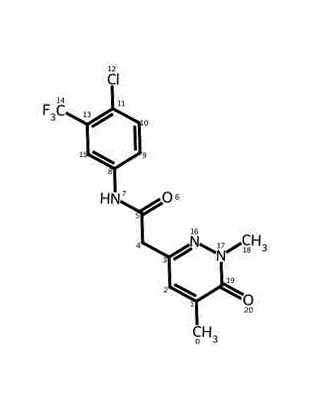 Cc1cc(CC(=O)Nc2ccc(Cl)c(C(F)(F)F)c2)nn(C)c1=O